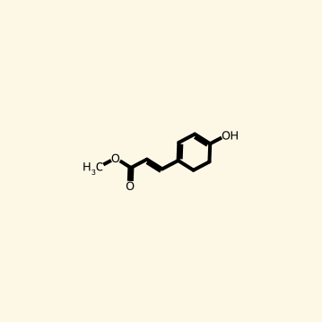 COC(=O)/C=C/C1=CC=C(O)CC1